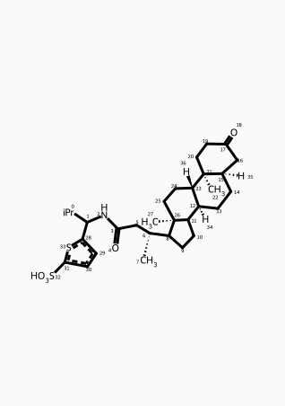 CC(C)C(NC(=O)C[C@@H](C)C1CCC2[C@@H]3CC[C@@H]4CC(=O)CC[C@]4(C)[C@H]3CC[C@]12C)c1ccc(S(=O)(=O)O)s1